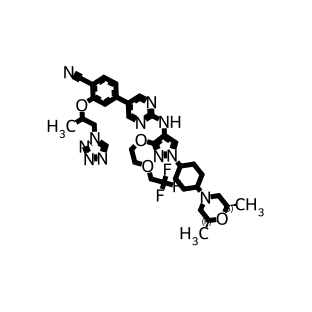 CC(Cn1cnnn1)Oc1cc(-c2cnc(Nc3cn(C4CCC(N5C[C@@H](C)O[C@@H](C)C5)CC4)nc3OCCOCC(F)(F)F)nc2)ccc1C#N